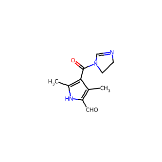 Cc1[nH]c(C=O)c(C)c1C(=O)N1C=NCC1